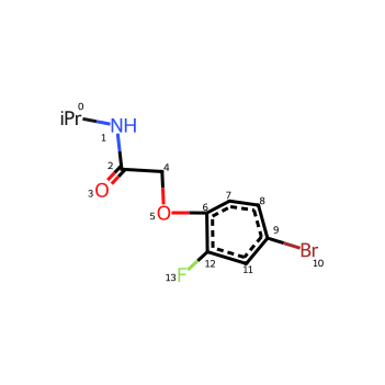 CC(C)NC(=O)COc1ccc(Br)cc1F